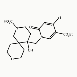 CCOC(=O)c1cn(CC2(O)CCN(C(=O)O)CC23CCOCC3)c(=O)cc1Cl